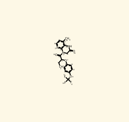 CCC(Oc1ccc(OC(F)(F)F)cc1)C(=O)N1CC(=O)Nc2c(C)ccnc21